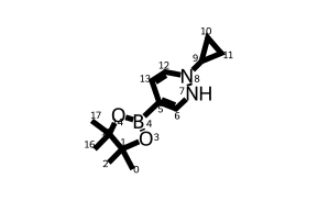 CC1(C)OB(C2=CNN(C3CC3)C=C2)OC1(C)C